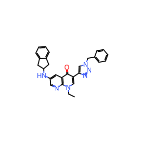 CCn1cc(-c2cn(Cc3ccccc3)nn2)c(=O)c2cc(NC3Cc4ccccc4C3)cnc21